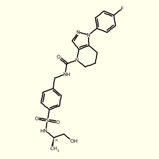 C[C@H](CO)NS(=O)(=O)c1ccc(CNC(=O)N2CCCc3c2cnn3-c2ccc(F)cc2)cc1